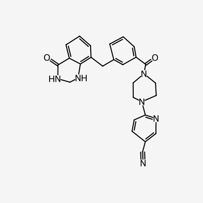 N#Cc1ccc(N2CCN(C(=O)c3cccc(Cc4cccc5c4NCNC5=O)c3)CC2)nc1